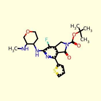 CNC1COCCC1Nc1nc(-c2cccs2)c2c(c1F)CN(C(=O)OC(C)(C)C)C2=O